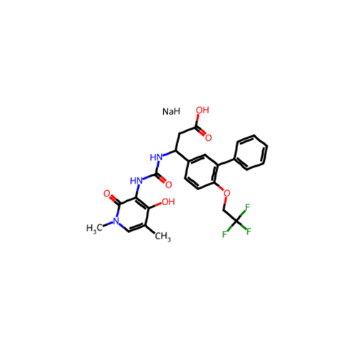 Cc1cn(C)c(=O)c(NC(=O)NC(CC(=O)O)c2ccc(OCC(F)(F)F)c(-c3ccccc3)c2)c1O.[NaH]